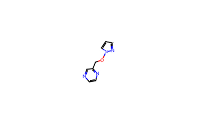 [c]1ccn(OCc2cnccn2)n1